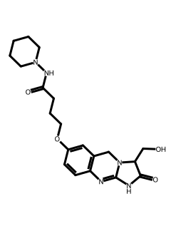 O=C(CCCOc1ccc2c(c1)CN1C(=N2)NC(=O)C1CO)NN1CCCCC1